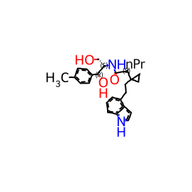 CCC[C@H](C(=O)N[C@@H](CO)[C@H](O)c1ccc(C)cc1)C1(CCc2cccc3[nH]ccc23)CC1